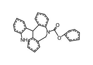 Nc1ccccc1C1c2ccccc2CN(C(=O)Oc2ccccc2)c2ccccc21